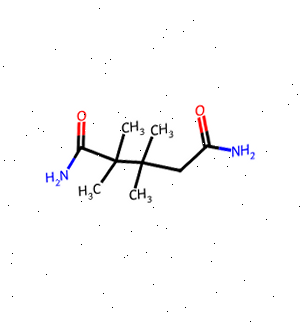 CC(C)(CC(N)=O)C(C)(C)C(N)=O